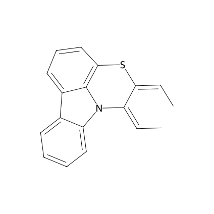 C/C=C1/Sc2cccc3c4ccccc4n(c23)/C1=C/C